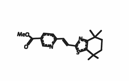 COC(=O)c1ccc(/C=C/c2nc3c(s2)C(C)(C)CCC3(C)C)nc1